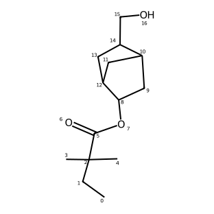 CCC(C)(C)C(=O)OC1CC2CC1CC2CO